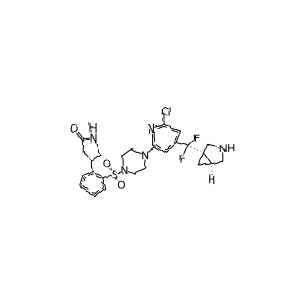 O=C1CC(c2ccccc2S(=O)(=O)N2CCN(c3cc(C(F)(F)[C@]45CNC[C@H]4C5)cc(Cl)n3)CC2)CN1